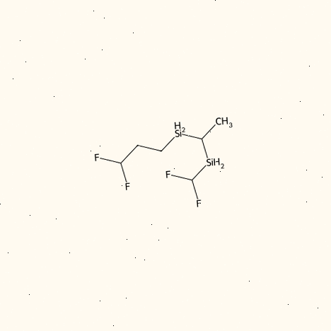 CC([SiH2]CCC(F)F)[SiH2]C(F)F